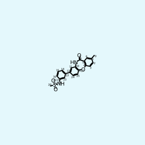 Cc1ccc2c(c1)C(=O)Nc1cc(-c3cccc(NS(C)(=O)=O)c3)ccc1O2